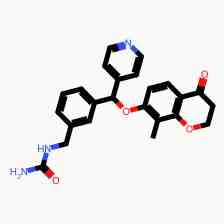 Cc1c(OC(c2ccncc2)c2cccc(CNC(N)=O)c2)ccc2c1OCCC2=O